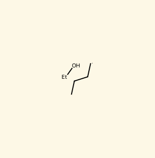 CCO.[CH2]CCC